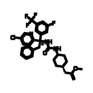 C=C(C[C@H]1CC[C@H](NC(=O)N[C@@](Cc2ccccc2)(c2cc(F)cc(C(F)(F)F)c2)c2ccc(Cl)cn2)CC1)OC